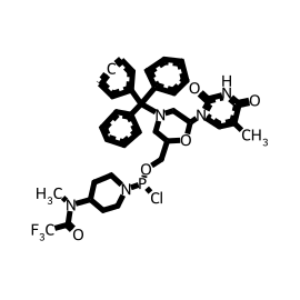 Cc1cn(C2CN(C(c3ccccc3)(c3ccccc3)c3ccccc3)CC(COP(Cl)N3CCC(N(C)C(=O)C(F)(F)F)CC3)O2)c(=O)[nH]c1=O